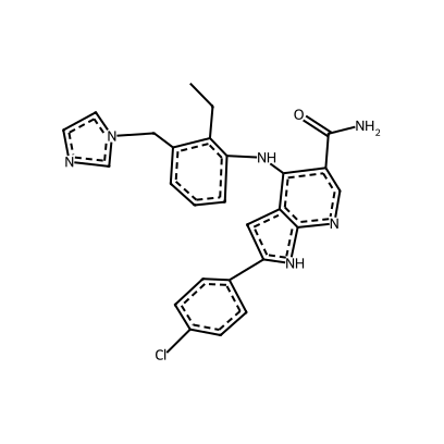 CCc1c(Cn2ccnc2)cccc1Nc1c(C(N)=O)cnc2[nH]c(-c3ccc(Cl)cc3)cc12